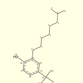 CC(C)CCCCCCc1cc(C(C)(C)C)ccc1O